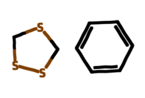 C1SCSS1.c1ccccc1